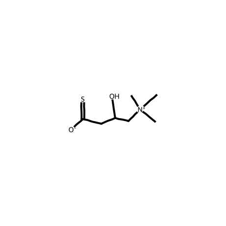 C[N+](C)(C)CC(O)CC([O-])=S